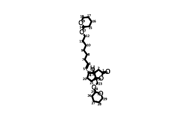 O=C1C[C@@H]2[C@@H](C=CCCCCCCOC3CCCCO3)CC[C@@]2(COC2CCCCO2)O1